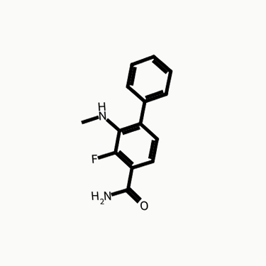 CNc1c(-c2ccccc2)ccc(C(N)=O)c1F